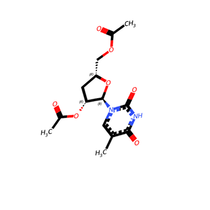 CC(=O)OC[C@H]1C[C@@H](OC(C)=O)[C@H](n2cc(C)c(=O)[nH]c2=O)O1